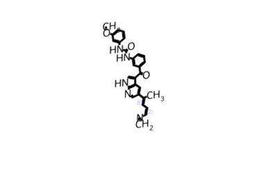 C=N/C=C\C=C(/C)c1cnc2[nH]cc(C(=O)c3cccc(NC(=O)Nc4cccc(OC)c4)c3)c2c1